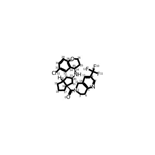 O=C(N1CCc2ncc(C(F)(F)F)cc2C1)[C@@]12CCC[C@@H]1C[C@@H](N[C@@H]1CCOc3ccc(Cl)cc31)C2